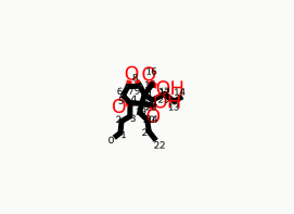 CCCCC12OC1C1OC1C(CCCC)(C(=O)O)C2(CCCC)C(=O)O